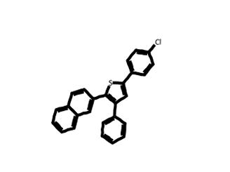 Clc1ccc(-c2cc(-c3ccccc3)c(-c3ccc4ccccc4c3)s2)cc1